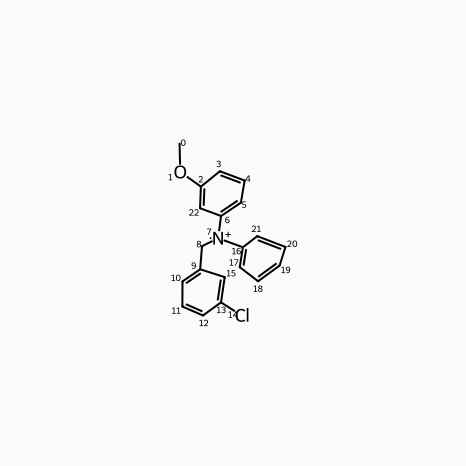 COc1cccc([N+](Cc2cccc(Cl)c2)c2ccccc2)c1